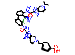 CC(C)N1CCc2c(nc(C(=O)Nc3cccc(-c4cccc(NC(=O)c5nc6c(n5C)CCN(CCC5=CC[C@@H](C(=O)O)CC5)C6)c4Cl)c3C#N)n2C)C1